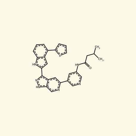 CC(C)CC(=O)Nc1cncc(-c2cc3c(-c4cc5c(-c6cccs6)cccc5[nH]4)n[nH]c3cn2)c1